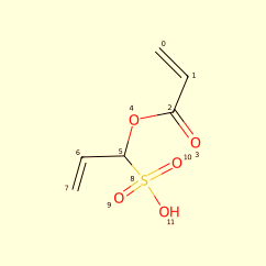 C=CC(=O)OC(C=C)S(=O)(=O)O